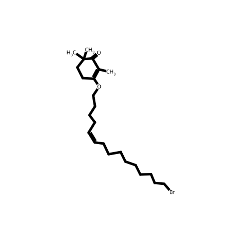 CC1=C(OCCCC/C=C\CCCCCCCCCBr)CCC(C)(C)C1=O